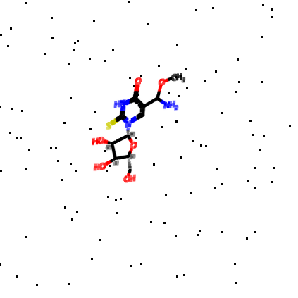 COC(N)c1cn([C@@H]2O[C@H](CO)[C@@H](O)[C@H]2O)c(=S)[nH]c1=O